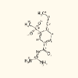 CC=C=C1CC=C(C(=O)N=C(N)N)C=C1S(C)(=O)=O